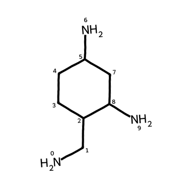 NCC1CCC(N)CC1N